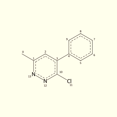 Cc1cc(-c2ccccc2)c(Cl)nn1